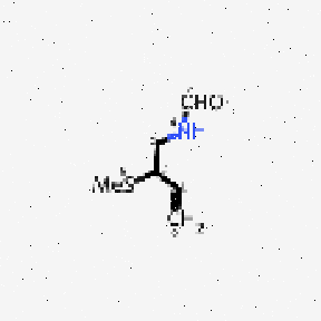 C=CC(CN[C]=O)SC